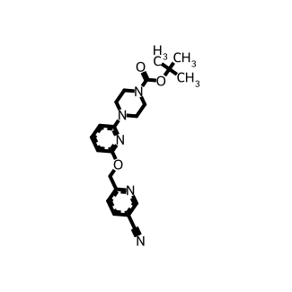 CC(C)(C)OC(=O)N1CCN(c2cccc(OCc3ccc(C#N)cn3)n2)CC1